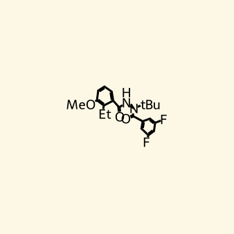 CCc1c(OC)cccc1C(=O)NN(C(=O)c1cc(F)cc(F)c1)C(C)(C)C